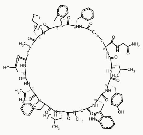 C=C(C)[C@@H]1NC(=O)[C@H](CC(=O)O)NC(=O)CN(C)C(=O)[C@H](CCCC)N(C)C(=O)[C@H](Cc2ccccc2)N(C)C(=O)[C@H](Cc2ccccc2)NC(=O)CSC[C@@H](C(=O)NCC(N)=O)NC(=O)[C@H](CC(C)C)NC(=O)[C@H](Cc2ccc(O)cc2)NC(=O)[C@H](Cc2c[nH]c3ccccc23)NC(=O)CN(C)C(=O)[C@H](CC(C)C)NC(=O)C(Cc2ccccc2)N(C)C1=O